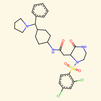 O=C(CC1C(=O)NCCN1S(=O)(=O)c1ccc(Cl)cc1Cl)NC1CCC(C(c2ccccc2)N2CCCC2)CC1